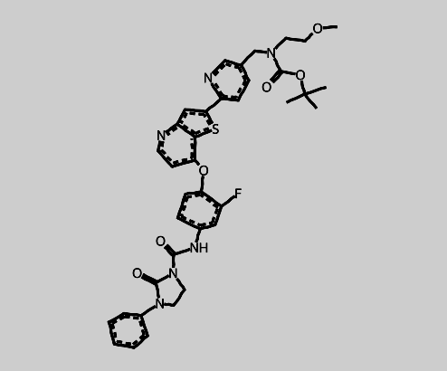 COCCN(Cc1ccc(-c2cc3nccc(Oc4ccc(NC(=O)N5CCN(c6ccccc6)C5=O)cc4F)c3s2)nc1)C(=O)OC(C)(C)C